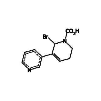 O=C(O)N1CCC=C(c2cccnc2)C1Br